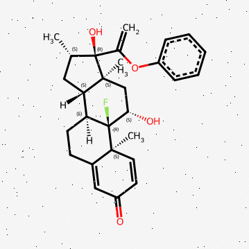 C=C(Oc1ccccc1)[C@@]1(O)[C@@H](C)C[C@H]2[C@@H]3CCC4=CC(=O)C=C[C@]4(C)[C@@]3(F)[C@@H](O)C[C@@]21C